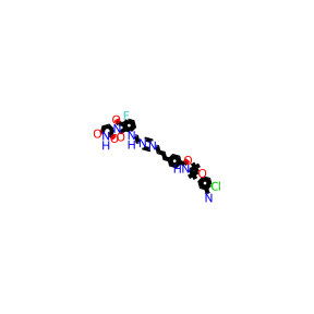 CC1(C)C(NC(=O)c2ccc(CCCCN3CCN(CCNc4ccc(F)c5c4C(=O)N(C4CCC(=O)NC4=O)C5=O)CC3)cc2)C(C)(C)C1Oc1ccc(C#N)c(Cl)c1